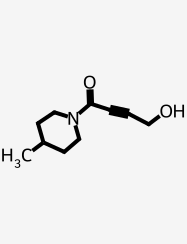 CC1CCN(C(=O)C#CCO)CC1